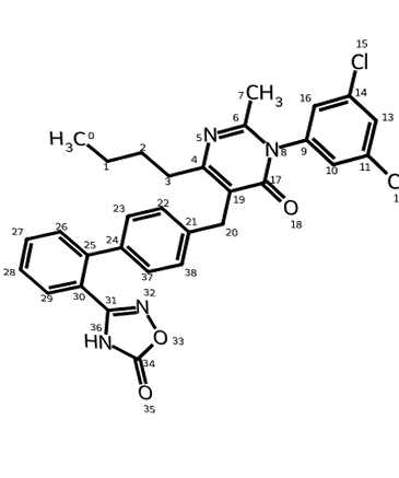 CCCCc1nc(C)n(-c2cc(Cl)cc(Cl)c2)c(=O)c1Cc1ccc(-c2ccccc2-c2noc(=O)[nH]2)cc1